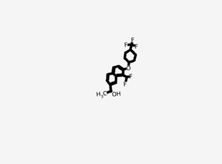 CC(O)c1ccc2ccc(OC3CCC(C(F)(F)F)CC3)c(C(F)F)c2c1